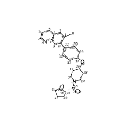 Cc1cc2cccnc2cc1-c1ccc(OC2CCN(C(=O)[C@@H]3CCCO3)CC2)cc1